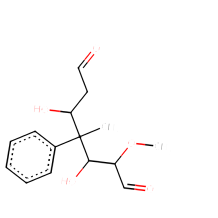 COC(C=O)C(O)C(C)(c1ccccc1)C(O)C[C]=O